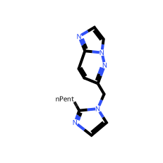 CCCCCc1nccn1Cc1ccc2nccn2n1